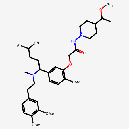 CCCC(C#N)CCC(c1ccc(OC)c(OCC(=O)NN2CCC(C(C)O[N+](=O)[O-])CC2)c1)N(C)CCc1ccc(OC)c(OC)c1